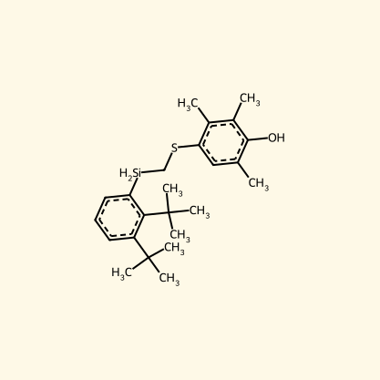 Cc1cc(SC[SiH2]c2cccc(C(C)(C)C)c2C(C)(C)C)c(C)c(C)c1O